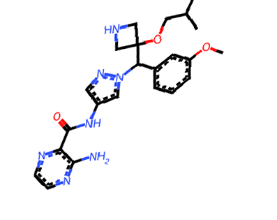 COc1cccc(C(n2cc(NC(=O)c3nccnc3N)cn2)C2(OCC(C)C)CNC2)c1